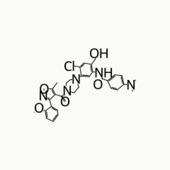 COc1ccccc1-c1noc(C)c1C(=O)N1CCN(c2cc(NC(=O)c3ccc(N(C)C)cc3)c(CO)cc2Cl)CC1